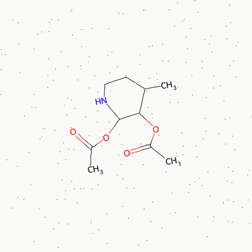 CC(=O)OC1NCCC(C)C1OC(C)=O